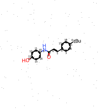 CC(C)(C)c1ccc(/C=C/C(=O)Nc2ccc(O)cc2)cc1